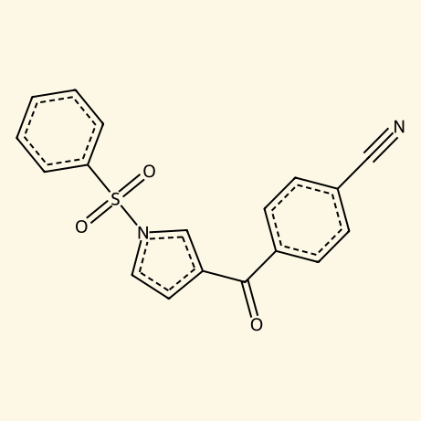 N#Cc1ccc(C(=O)c2ccn(S(=O)(=O)c3ccccc3)c2)cc1